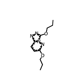 CCCOc1ccc2nnc(OCCC)n2n1